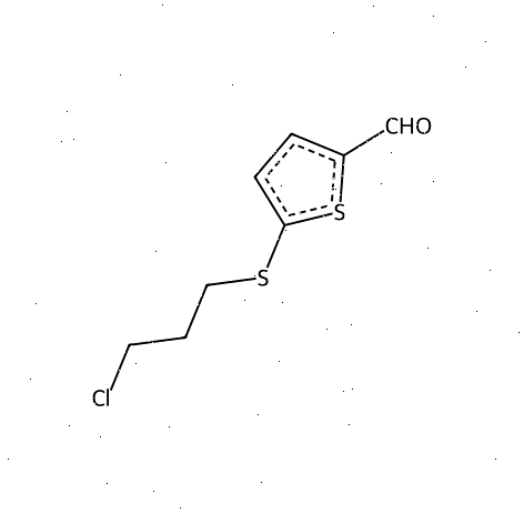 O=Cc1ccc(SCCCCl)s1